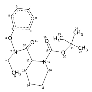 CCN(Oc1ccccc1)C(=O)C1CCCCN1C(=O)OC(C)(C)C